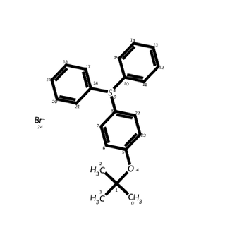 CC(C)(C)Oc1ccc([S+](c2ccccc2)c2ccccc2)cc1.[Br-]